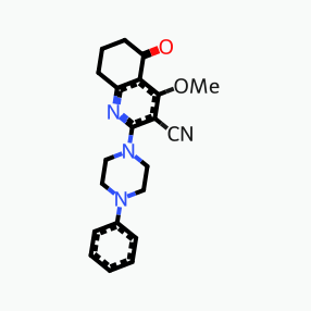 COc1c(C#N)c(N2CCN(c3ccccc3)CC2)nc2c1C(=O)CCC2